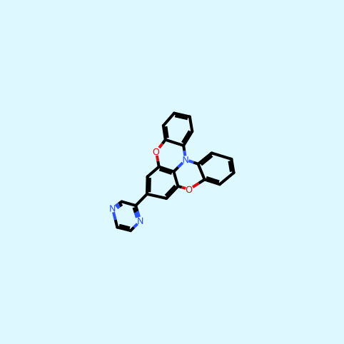 c1ccc2c(c1)Oc1cc(-c3cnccn3)cc3c1N2c1ccccc1O3